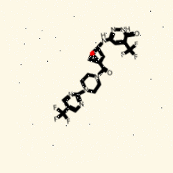 O=C(N1CCN(c2ncc(C(F)(F)F)cn2)CC1)C12CCC(Nc3cc(C(F)(F)F)c(=O)[nH]n3)(C1)C2